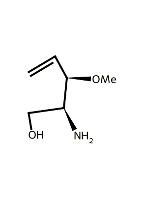 C=C[C@@H](OC)[C@@H](N)CO